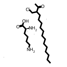 CCCCCCCCCCCCCC(CCl)C(C)=O.NCCCC[C@H](N)C(=O)O